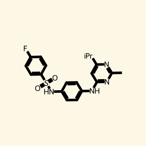 Cc1nc(Nc2ccc(NS(=O)(=O)c3ccc(F)cc3)cc2)cc(C(C)C)n1